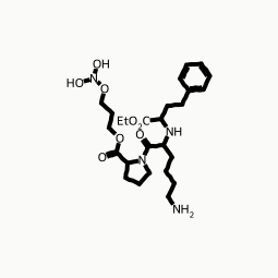 CCOC(=O)C(CCc1ccccc1)NC(CCCCN)C(=O)N1CCCC1C(=O)OCCCON(O)O